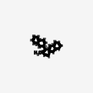 Cc1ccc2cc3ccccc3cc2c1-c1ccc2ccccc2c1